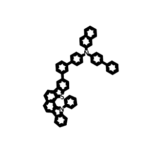 c1ccc(-c2ccc(N(c3ccc(-c4cccc(-c5ccc6sc7c(ccc8ccc9c%10ccccc%10n(-c%10ccccc%10)c9c87)c6c5)c4)cc3)c3ccc4ccccc4c3)cc2)cc1